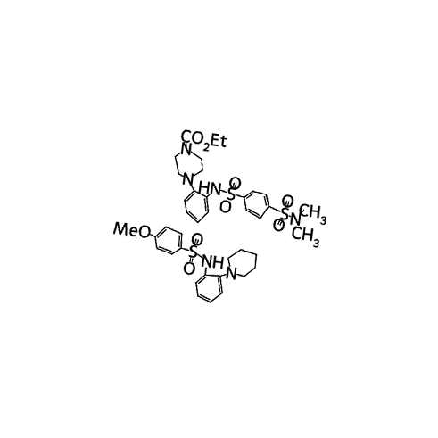 CCOC(=O)N1CCN(c2ccccc2NS(=O)(=O)c2ccc(S(=O)(=O)N(C)C)cc2)CC1.COc1ccc(S(=O)(=O)Nc2ccccc2N2CCCCC2)cc1